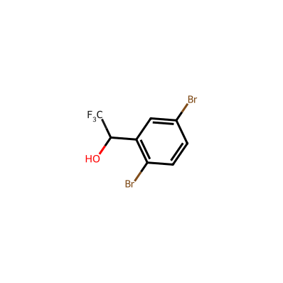 OC(c1cc(Br)ccc1Br)C(F)(F)F